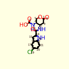 O=C(O)N[C@H]1COC(=O)C[C@H]1NC(=O)c1cc2cc(Cl)ccc2[nH]1